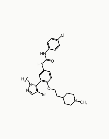 CN1CCC(CCOc2ccc(NC(=O)Nc3ccc(Cl)cc3)cc2-c2c(Br)cnn2C)CC1